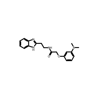 CN(C)c1cccc(OCC(=O)NCCc2nc3ccccc3[nH]2)c1